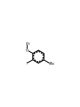 CCOc1ccc(C(C)CC)cc1I